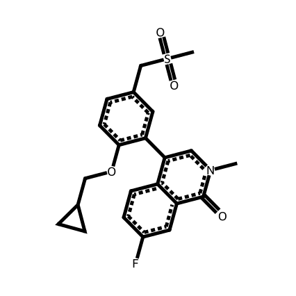 Cn1cc(-c2cc(CS(C)(=O)=O)ccc2OCC2CC2)c2ccc(F)cc2c1=O